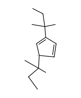 CCC(C)(C)[C]1C=CC(C(C)(C)CC)=C1